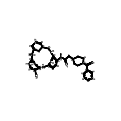 O=C(CC1CCN(C(=O)c2cccnc2)CC1)Nc1ccc2cc1CCC1C=NC=C(C1)Nc1ncc(Cl)c(n1)N2